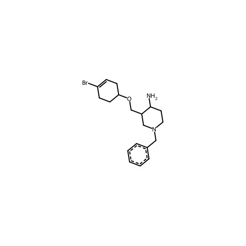 NC1CCN(Cc2ccccc2)CC1COC1CC=C(Br)CC1